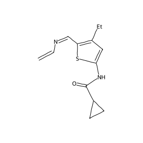 C=C/N=C\c1sc(NC(=O)C2CC2)cc1CC